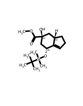 COC(=O)[C@]1(O)C[C@@H]2CCC=C2[C@H](O[Si](C)(C)C(C)(C)C)C1